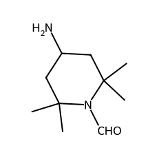 CC1(C)CC(N)CC(C)(C)N1C=O